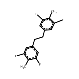 Cc1c(F)cc(CCc2cc(F)c(C)c(F)c2)cc1F